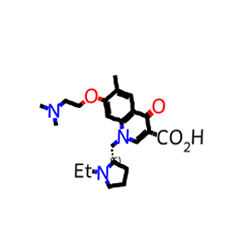 CCN1CCC[C@H]1Cn1cc(C(=O)O)c(=O)c2cc(C)c(OCCN(C)C)cc21